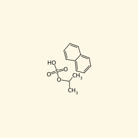 CC(C)OS(=O)(=O)O.c1ccc2ccccc2c1